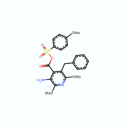 COc1ccc(S(=O)(=O)OC(=O)c2c(N)c(OC)nc(OC)c2Cc2ccccc2)cc1